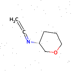 C=C=N[C@@H]1CCCOC1